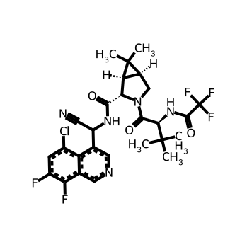 CC(C)(C)[C@H](NC(=O)C(F)(F)F)C(=O)N1C[C@H]2[C@@H]([C@H]1C(=O)NC(C#N)c1cncc3c(F)c(F)cc(Cl)c13)C2(C)C